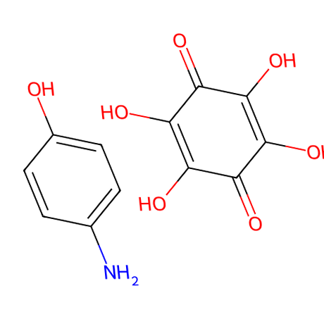 Nc1ccc(O)cc1.O=C1C(O)=C(O)C(=O)C(O)=C1O